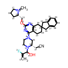 C=C(F)C(O)N1CCN(c2nc(OC[C@@H]3CCCN3C)nc3c2CCC2(Cc4ccccc4C2)C3)C[C@@H]1CC#N